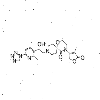 CC1=C(N2CCOC3(CCN(CC(O)c4ccc(-n5cnnn5)nc4C)CC3)C2=O)COC1=O